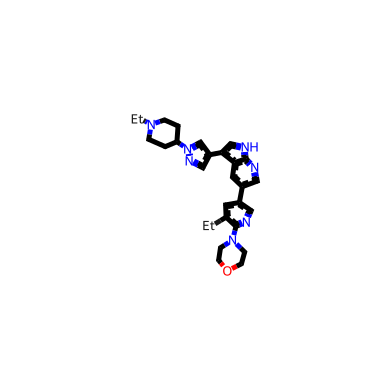 CCc1cc(-c2cnc3[nH]cc(-c4cnn(C5CCN(CC)CC5)c4)c3c2)cnc1N1CCOCC1